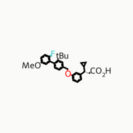 COc1ccc(F)c(-c2ccc(COc3cccc([C@@H](CC(=O)O)C4CC4)c3)cc2C(C)(C)C)c1